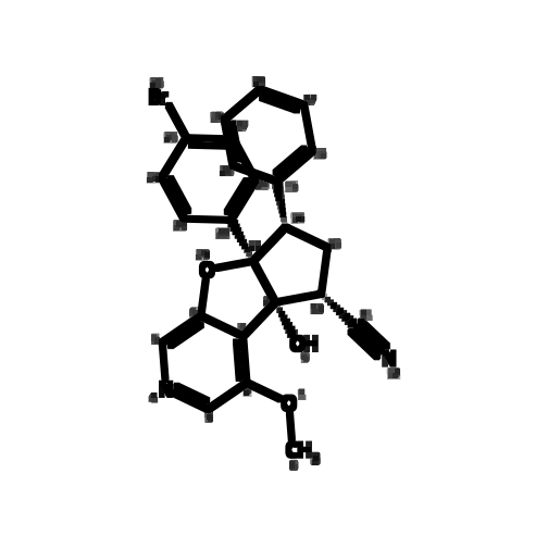 COc1cncc2c1[C@]1(O)[C@@H](C#N)C[C@@H](c3ccccc3)[C@]1(c1ccc(Br)cc1)O2